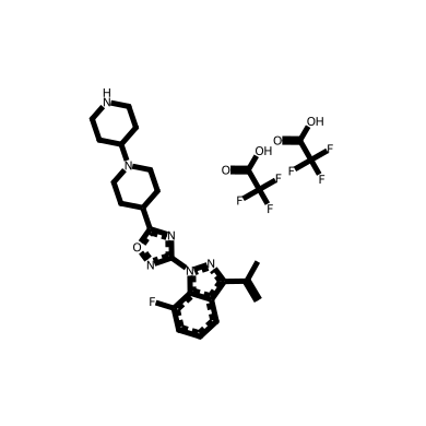 C=C(C)c1nn(-c2noc(C3CCN(C4CCNCC4)CC3)n2)c2c(F)cccc12.O=C(O)C(F)(F)F.O=C(O)C(F)(F)F